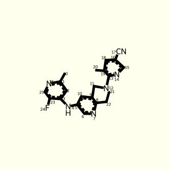 Cc1cc(Nc2cnc3c(c2)CN(c2ncc(C#N)cc2C)CC3)c(F)cn1